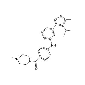 Cc1ncc(-c2ccnc(Nc3ccc(C(=O)N4CCN(C)CC4)cc3)n2)n1C(C)C